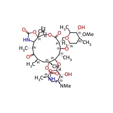 CC[C@H]1OC(=O)[C@H](C)[C@@H](O[C@H]2C[C@@](C)(OC)[C@@H](O)C(C)O2)[C@H](C)[C@@H](O[C@@H]2O[C@H](C)C[C@H](NC)[C@H]2O)[C@](C)(OC(N)=O)C[C@@H](C)C(=O)[C@H](C)C2NC(=O)O[C@@]21C